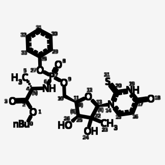 CCCCOC(=O)[C@H](C)NP(=O)(OC[C@H]1O[C@@H](n2ccc(=O)[nH]c2=S)C(C)(O)[C@H]1O)Oc1ccccc1